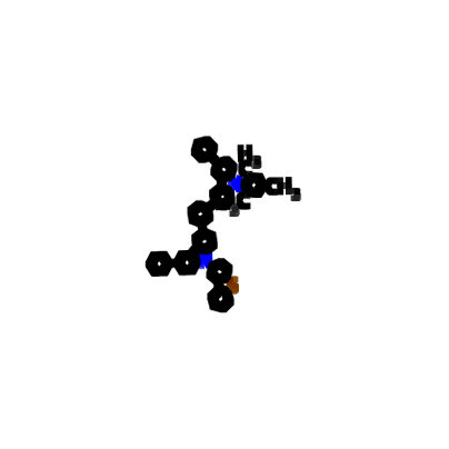 Cc1cc(C)c(-n2c3ccc(-c4ccccc4)cc3c3cc(-c4cccc(-c5ccc6c(c5)c5cc(-c7ccccc7)ccc5n6-c5ccc6sc7ccccc7c6c5)c4)ccc32)c(C)c1